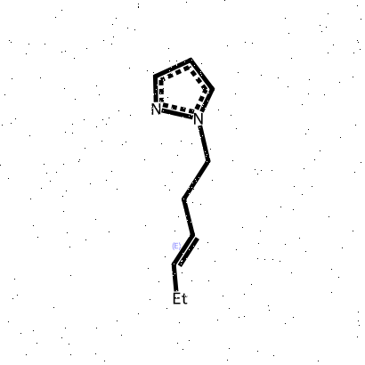 [CH2]C/C=C/CCn1cccn1